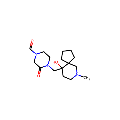 CN1CCC(O)(CN2CCN(C=O)CC2=O)C2(CCCC2)C1